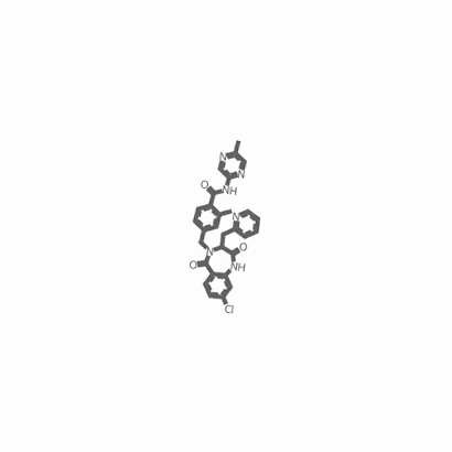 Cc1cnc(NC(=O)c2ccc(CN3C(=O)c4ccc(Cl)cc4NC(=O)C3Cc3ccccn3)cc2C)cn1